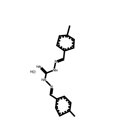 Cc1ccc(C=NNC(=N)NN=Cc2ccc(C)cc2)cc1.Cl